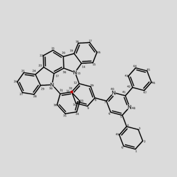 C1=CCCC(c2cc(-c3cccc(-n4c5ccccc5c5ccc6c7ccccc7n(-c7ccccc7)c6c54)c3)nc(-c3ccccc3)n2)=C1